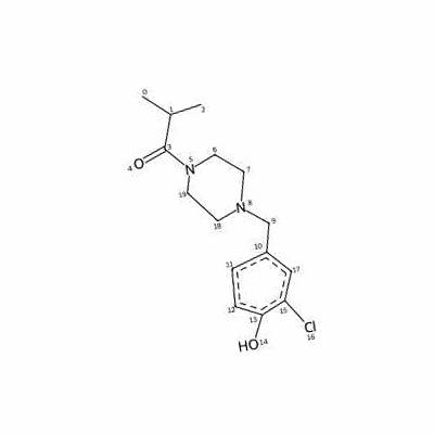 CC(C)C(=O)N1CCN(Cc2ccc(O)c(Cl)c2)CC1